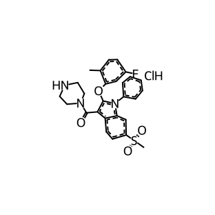 Cc1ccc(F)cc1Oc1c(C(=O)N2CCNCC2)c2ccc(S(C)(=O)=O)cc2n1-c1ccccc1.Cl